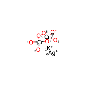 [Ag+].[K+].[O]=[Cr](=[O])([O-])[O][Cr](=[O])(=[O])[O-]